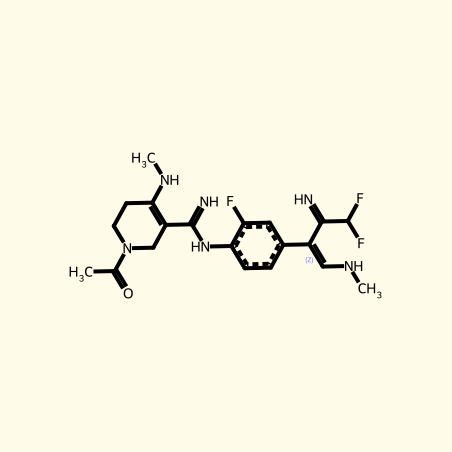 CN/C=C(\C(=N)C(F)F)c1ccc(NC(=N)C2=C(NC)CCN(C(C)=O)C2)c(F)c1